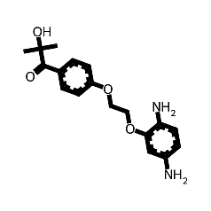 CC(C)(O)C(=O)c1ccc(OCCOc2cc(N)ccc2N)cc1